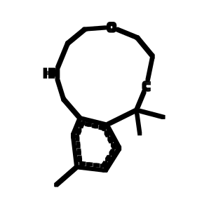 Cc1ccc2c(c1)CNCCOCCCC2(C)C